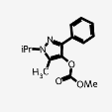 COC(=O)Oc1c(-c2ccccc2)nn(C(C)C)c1C